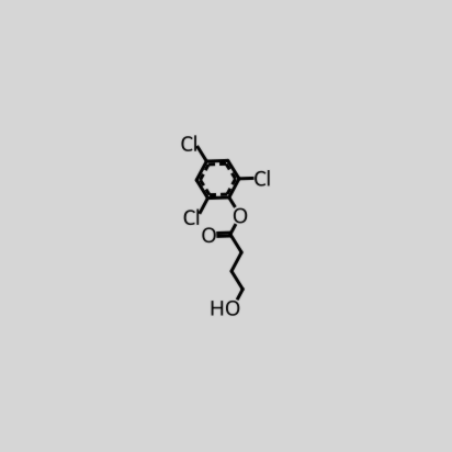 O=C(CCCO)Oc1c(Cl)cc(Cl)cc1Cl